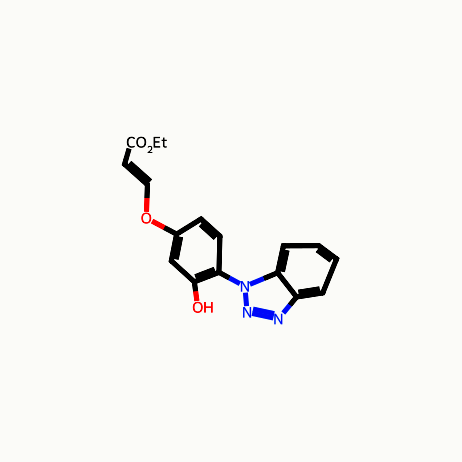 CCOC(=O)C=COc1ccc(-n2nnc3ccccc32)c(O)c1